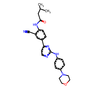 CC(C)CC(=O)Nc1ccc(-c2ccnc(Nc3ccc(N4CCOCC4)cc3)n2)cc1C#N